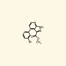 COC(=O)c1n[nH]c2nccc(-c3cccc(Br)c3)c12